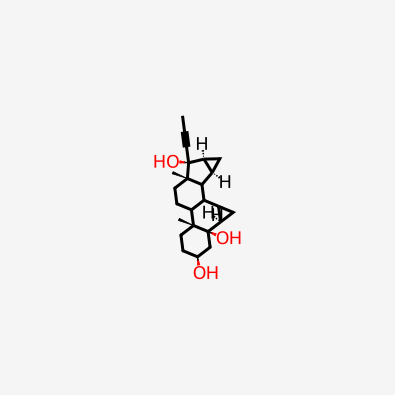 CC#C[C@]1(O)[C@H]2C[C@H]2C2C3C(CC[C@@]21C)[C@@]1(C)CC[C@H](O)C[C@@]1(O)[C@@H]1C[C@H]31